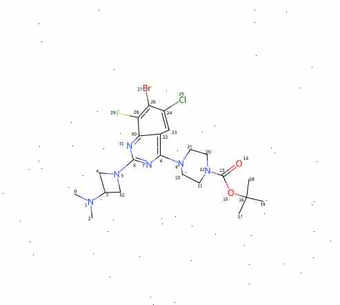 CN(C)C1CN(c2nc(N3CCN(C(=O)OC(C)(C)C)CC3)c3cc(Cl)c(Br)c(F)c3n2)C1